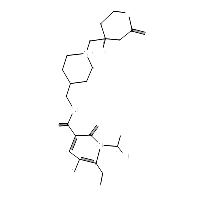 CCc1c(Cl)cc(C(=O)NCC2CCN(CC3(O)CCOC(=O)C3)CC2)c(=O)n1C(C)C